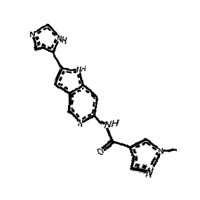 Cn1cc(C(=O)Nc2cc3[nH]c(-c4cnc[nH]4)cc3cn2)cn1